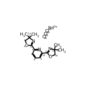 CC1(C)COC(c2cccc(C3=NC(C)(C)CO3)n2)=N1.[Cl-].[Cl-].[Cl-].[Nd+3]